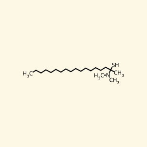 CCCCCCCCCCCCCCCCC(C)(S)N(C)C